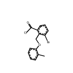 Cc1ccccc1OCc1c(Br)cccc1C(=O)Cl